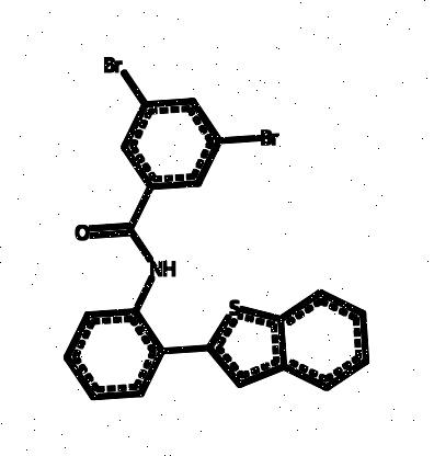 O=C(Nc1ccccc1-c1cc2ccccc2s1)c1cc(Br)cc(Br)c1